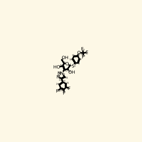 OCC1O[C@H](Sc2ccc(OC(F)(F)F)cc2)C(O)C(n2cc(-c3cc(F)c(F)c(F)c3)nn2)=C1O